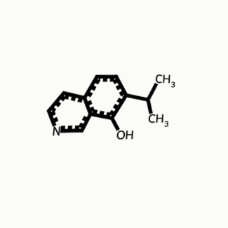 CC(C)c1ccc2ccncc2c1O